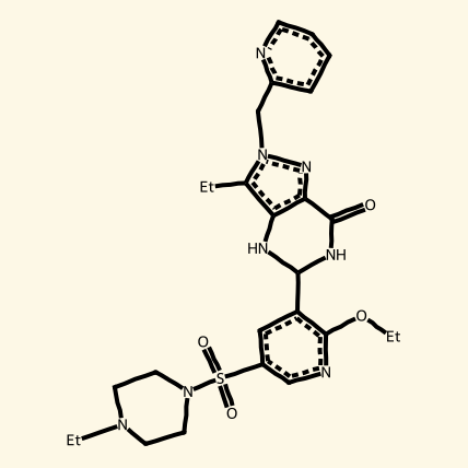 CCOc1ncc(S(=O)(=O)N2CCN(CC)CC2)cc1C1NC(=O)c2nn(Cc3ccccn3)c(CC)c2N1